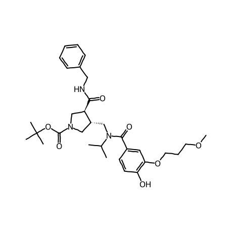 COCCCOc1cc(C(=O)N(C[C@@H]2CN(C(=O)OC(C)(C)C)C[C@H]2C(=O)NCc2ccccc2)C(C)C)ccc1O